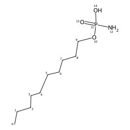 CCCCCCCCCCOP(N)(=O)O